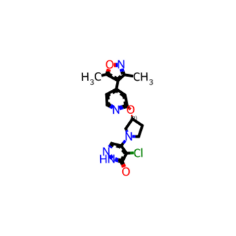 Cc1noc(C)c1-c1ccnc(O[C@@H]2CCN(c3cn[nH]c(=O)c3Cl)C2)c1